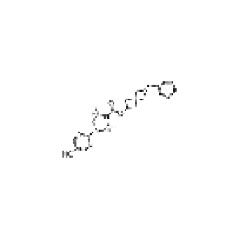 C[C@@H]1CN(c2ncc(C#N)cn2)C[C@@H](C)N1C(=O)OC1CC2(C1)CN(Cc1ccccc1)C2